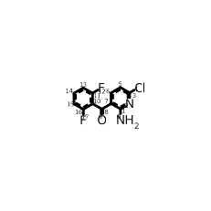 Nc1nc(Cl)ccc1C(=O)c1c(F)cccc1F